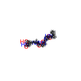 Cc1cc(NC(=O)c2cccc(N(C)C(=O)CCN3CCC(OC(=O)Nc4ccccc4-c4ccccc4)CC3)c2)c(C)cc1CNCCc1ccc(O)c2[nH]c(=O)ccc12